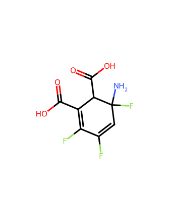 NC1(F)C=C(F)C(F)=C(C(=O)O)C1C(=O)O